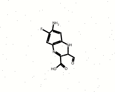 Nc1cc2c(cc1F)N=C(C(=O)O)C(C=O)N2